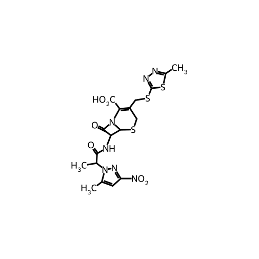 Cc1nnc(SCC2=C(C(=O)O)N3C(=O)C(NC(=O)C(C)n4nc([N+](=O)[O-])cc4C)C3SC2)s1